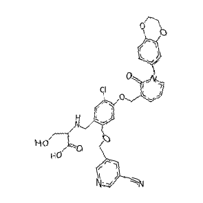 N#Cc1cncc(COc2cc(OCc3cccn(-c4ccc5c(c4)OCCO5)c3=O)c(Cl)cc2CNC(CO)C(=O)O)c1